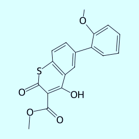 COC(=O)c1c(O)c2cc(-c3ccccc3OC)ccc2sc1=O